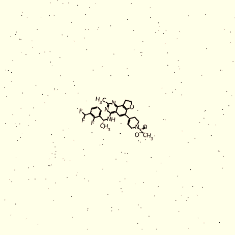 Cc1nc(N[C@H](C)c2cccc(C(F)F)c2F)c2cc(C3=CCN(S(C)(=O)=O)CC3)c3c(c2n1)CCO3